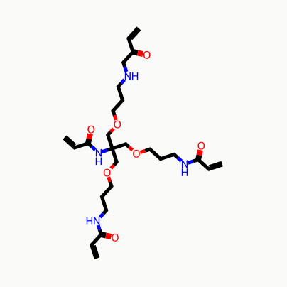 C=CC(=O)CNCCCOCC(COCCCNC(=O)C=C)(COCCCNC(=O)C=C)NC(=O)C=C